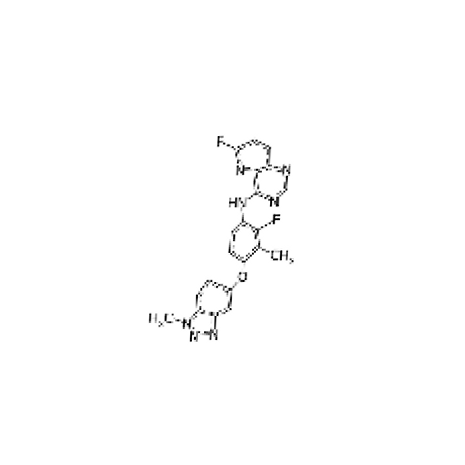 Cc1c(Oc2ccc3c(c2)nnn3C)ccc(Nc2ncnc3ccc(F)nc23)c1F